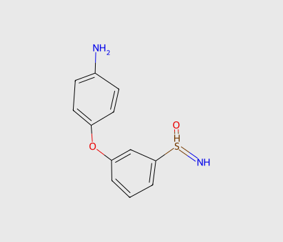 N=[SH](=O)c1cccc(Oc2ccc(N)cc2)c1